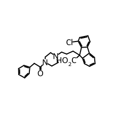 O=C(Cc1ccccc1)N1CCN(CCCC2(C(=O)O)c3ccccc3-c3cccc(Cl)c32)CC1